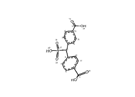 O=C(O)c1ccc(C(c2ccc(C(=O)O)cc2)S(=O)(=O)O)cc1